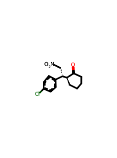 O=C1CCCC[C@H]1[C@@H](C[N+](=O)[O-])c1ccc(Cl)cc1